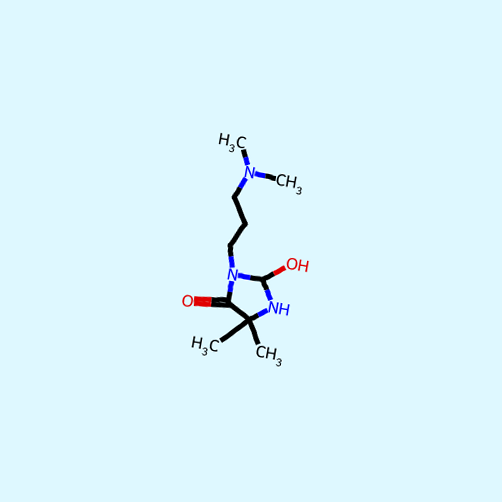 CN(C)CCCN1C(=O)C(C)(C)NC1O